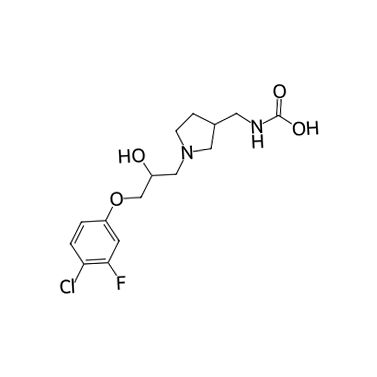 O=C(O)NCC1CCN(CC(O)COc2ccc(Cl)c(F)c2)C1